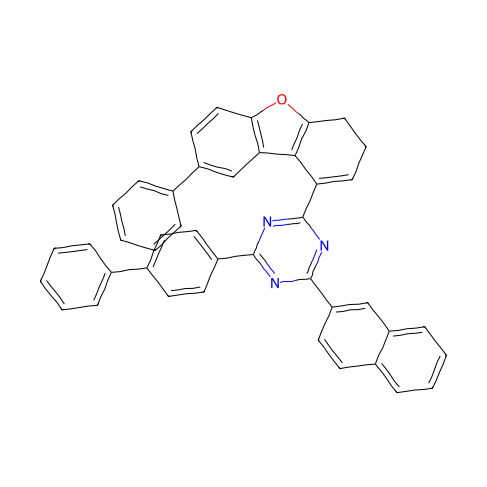 C1=C(c2nc(-c3ccc(-c4ccccc4)cc3)nc(-c3ccc4ccccc4c3)n2)c2c(oc3ccc(-c4ccccc4)cc23)CC1